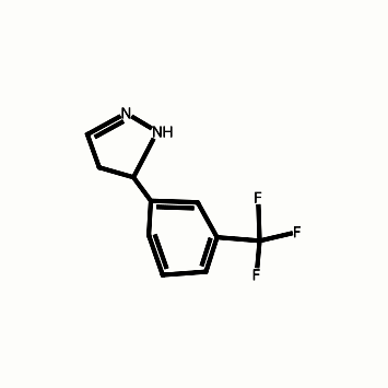 FC(F)(F)c1cccc(C2CC=NN2)c1